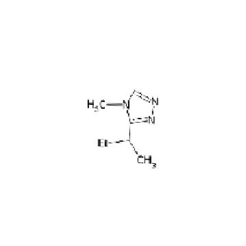 CCC(C)c1nncn1C